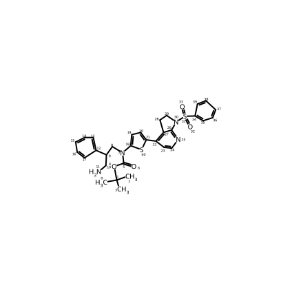 CC(C)(C)OC(=O)N(CC(CN)c1ccccc1)c1ccc(-c2ccnc3c2CCN3S(=O)(=O)c2ccccc2)s1